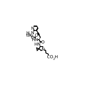 CC(C)(C)OC(=O)N[C@@H](CC#Cc1cccnc1N)C(=O)N[C@H]1CN(CCCC(=O)O)CC12CC2